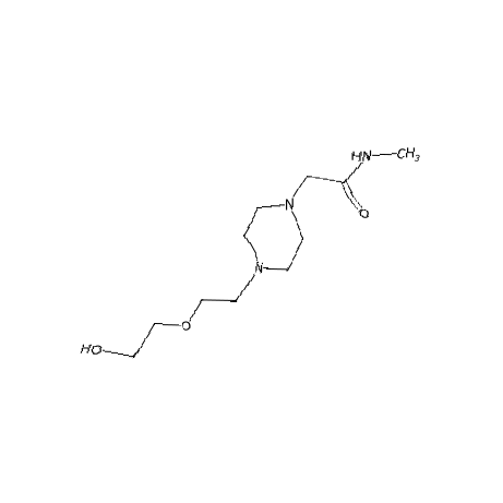 CNC(=O)CN1CCN(CCOCCO)CC1